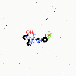 OCC1CCCN1c1nc(Nc2cn(-c3cccc(OC(F)(F)F)c3)cn2)nn2cccc12